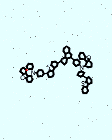 c1ccc(N(c2ccc(-c3cccc4c3sc3ccc(-c5ccc6c(-c7ccc(N(c8cccc(-c9cccc%10c9sc9ccccc9%10)c8)c8cccc9oc%10ccccc%10c89)cc7)cc7ccccc7c6c5)cc34)cc2)c2cccc3oc4ccccc4c23)cc1